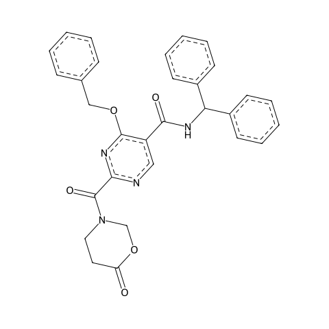 O=C1CCN(C(=O)c2ncc(C(=O)NC(c3ccccc3)c3ccccc3)c(OCc3ccccc3)n2)CO1